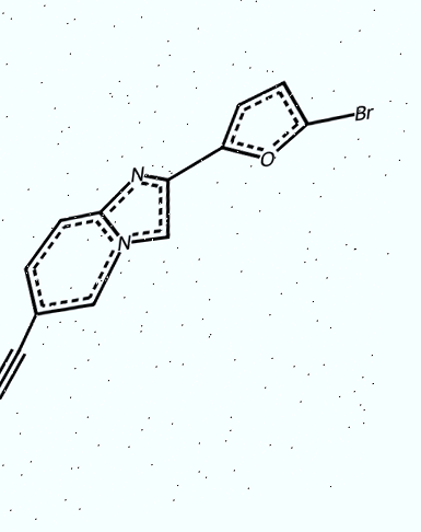 N#Cc1ccc2nc(-c3ccc(Br)o3)cn2c1